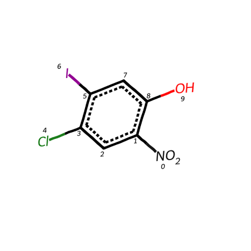 O=[N+]([O-])c1cc(Cl)c(I)cc1O